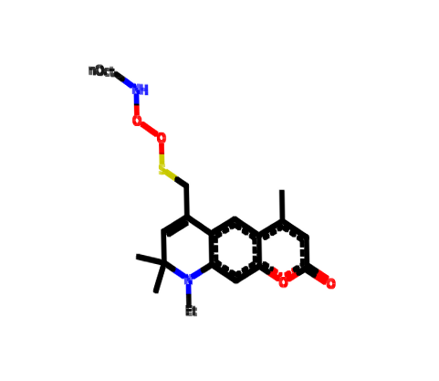 CCCCCCCCNOOSCC1=CC(C)(C)N(CC)c2cc3oc(=O)cc(C)c3cc21